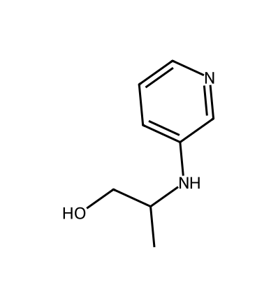 CC(CO)Nc1cccnc1